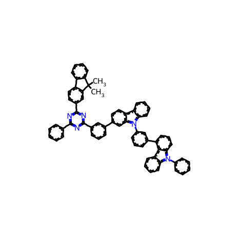 CC1(C)c2ccccc2-c2ccc(-c3nc(-c4ccccc4)nc(-c4cccc(-c5ccc6c7ccccc7n(-c7cccc(-c8cccc9c8c8ccccc8n9-c8ccccc8)c7)c6c5)c4)n3)cc21